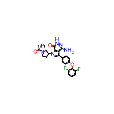 CCCC(=O)N1CCC(n2cc(-c3ccc(Oc4c(F)cccc4F)cc3)c3c(N)n[nH]c(=O)c32)C1